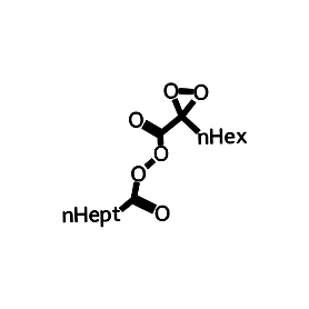 CCCCCCCC(=O)OOC(=O)C1(CCCCCC)OO1